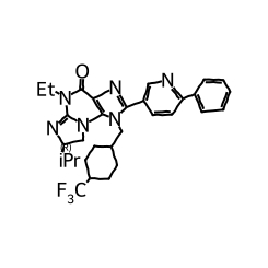 CCN1C(=O)c2nc(-c3ccc(-c4ccccc4)nc3)n(CC3CCC(C(F)(F)F)CC3)c2N2C[C@@H](C(C)C)N=C12